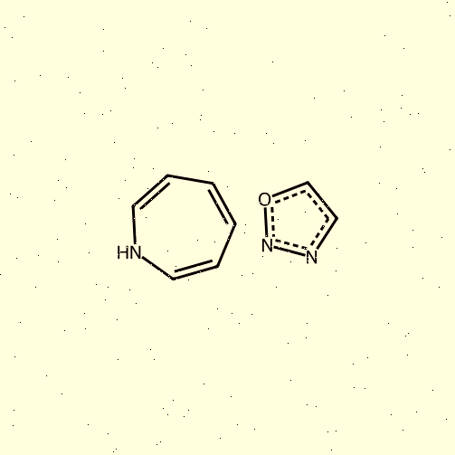 C1=CC=CNC=C1.c1conn1